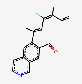 C=C/C(C)=C(F)\C=C(/C)c1cc2ccncc2cc1C=O